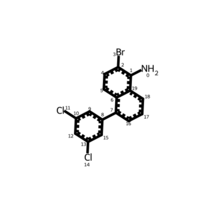 Nc1c(Br)ccc2c(-c3cc(Cl)cc(Cl)c3)cccc12